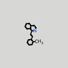 Cc1ccccc1C=Cc1nccc2ccccc12